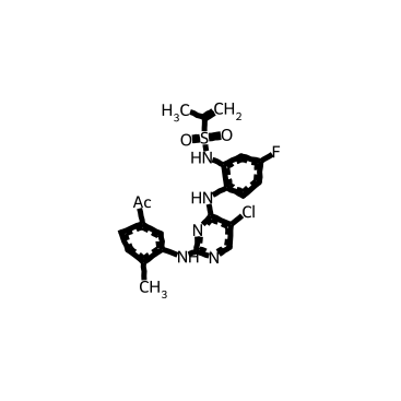 C=C(C)S(=O)(=O)Nc1cc(F)ccc1Nc1nc(Nc2cc(C(C)=O)ccc2C)ncc1Cl